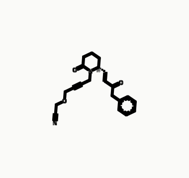 N#CCOCC#CCN1C(=O)CCC[C@@H]1C=CC(=O)Cc1ccccc1